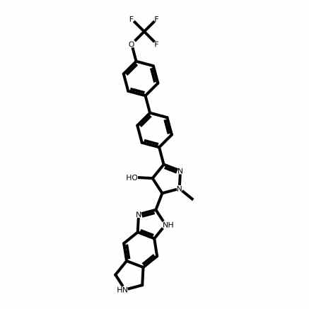 CN1N=C(c2ccc(-c3ccc(OC(F)(F)F)cc3)cc2)C(O)C1c1nc2cc3c(cc2[nH]1)CNC3